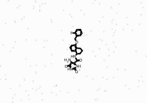 Nc1c(C(=O)NC2CCCc3c(OCc4ccccc4F)cccc32)[nH]c(=O)[nH]c1=O